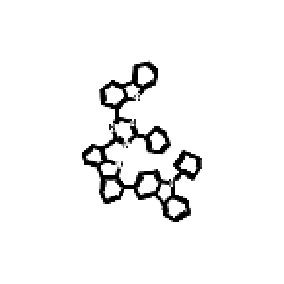 c1ccc(-c2nc(-c3cccc4c3oc3ccccc34)nc(-c3cccc4c3oc3c(-c5ccc6c(c5)c5ccccc5n6-c5ccccc5)cccc34)n2)cc1